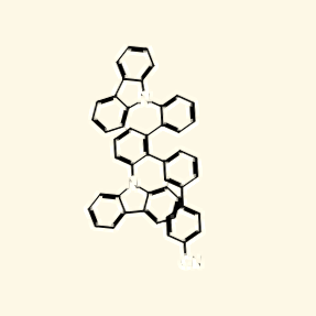 N#Cc1ccc(-c2cccc(-c3c(-c4ccccc4-n4c5ccccc5c5ccccc54)cccc3-n3c4ccccc4c4ccccc43)c2)cc1